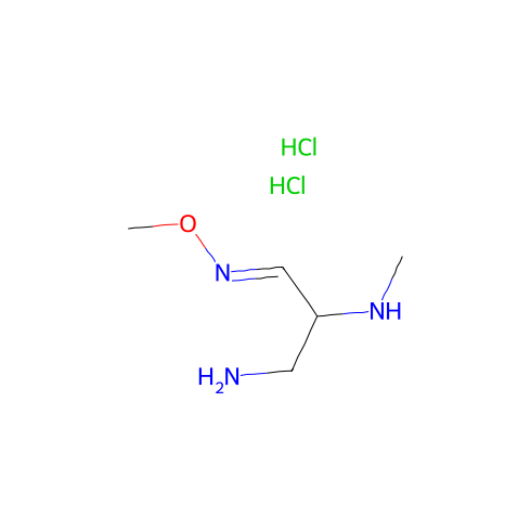 CNC(C=NOC)CN.Cl.Cl